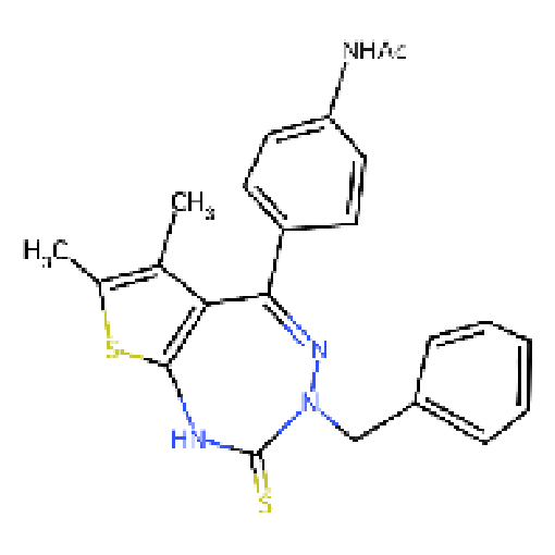 CC(=O)Nc1ccc(C2=NN(Cc3ccccc3)C(=S)Nc3sc(C)c(C)c32)cc1